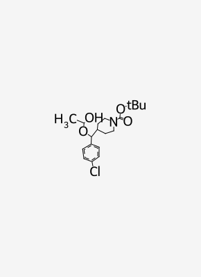 CC(O)OC(c1ccc(Cl)cc1)C1CCN(C(=O)OC(C)(C)C)CC1